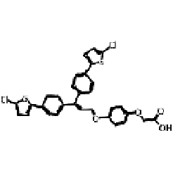 O=C(O)COc1ccc(OCC=C(c2ccc(-c3ccc(Cl)s3)cc2)c2ccc(-c3ccc(Cl)s3)cc2)cc1